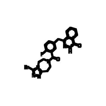 O=C(c1cc(Cc2n[nH]c(=O)c3ccccc23)ccc1F)N1CCc2nnc(Br)n2CC1